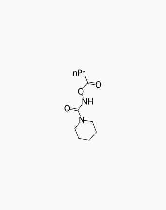 CCCC(=O)ONC(=O)N1CCCCC1